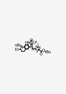 CCCCN1c2cc(NS(=O)(=O)C(F)(F)F)c(N=Nc3nnc(C(=O)OC(C)(C)C)s3)cc2CCC1CC